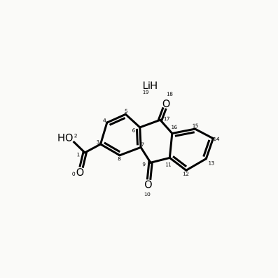 O=C(O)c1ccc2c(c1)C(=O)c1ccccc1C2=O.[LiH]